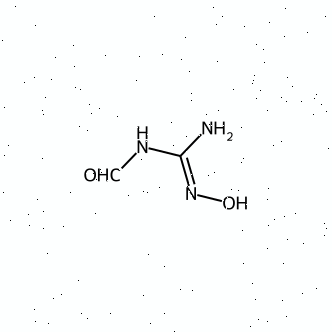 NC(=NO)NC=O